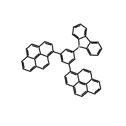 c1cc2ccc3ccc(-c4cc(-c5ccc6ccc7cccc8ccc5c6c78)cc(-n5c6ccccc6c6ccccc65)c4)c4ccc(c1)c2c34